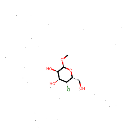 CO[C@H]1O[C@H](CO)[C@H](Cl)[C@H](O)[C@H]1O